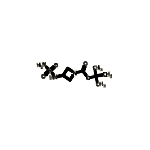 CC(C)(C)OC(=O)N1CC(NS(N)(=O)=O)C1